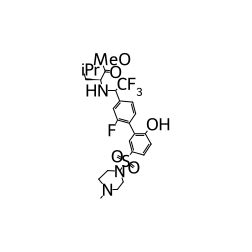 COC(=O)[C@H](CC(C)C)NC(c1ccc(-c2cc(S(=O)(=O)N3CCN(C)CC3)ccc2O)c(F)c1)C(F)(F)F